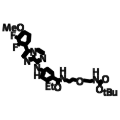 CCc1cc(Nc2nccn3c(-c4ccc(OC)c(F)c4F)cnc23)ccc1C(=O)NCCOCCNC(=O)OC(C)(C)C